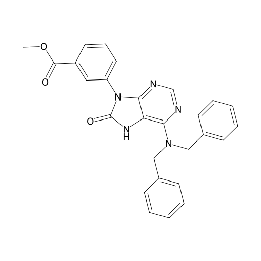 COC(=O)c1cccc(-n2c(=O)[nH]c3c(N(Cc4ccccc4)Cc4ccccc4)ncnc32)c1